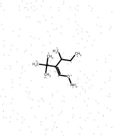 CCC(C)/C(=C\ON)C(C)(C)C